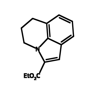 CCOC(=O)c1cc2cccc3c2n1CCC3